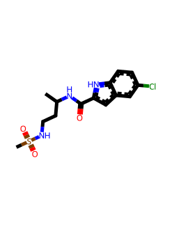 CC(CCNS(C)(=O)=O)NC(=O)c1cc2cc(Cl)ccc2[nH]1